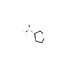 CCN(N)[C@@H]1CCOC1